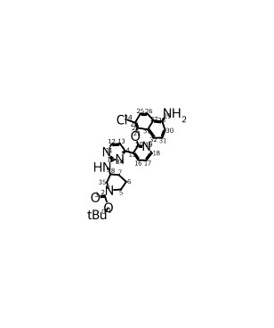 CC(C)(C)OC(=O)N1CCCC(Nc2nccc(-c3cccnc3Oc3c(Cl)ccc4c(N)cccc34)n2)C1